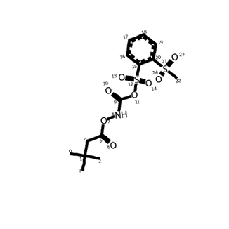 CC(C)(C)CC(=O)ONC(=O)OS(=O)(=O)c1ccccc1S(C)(=O)=O